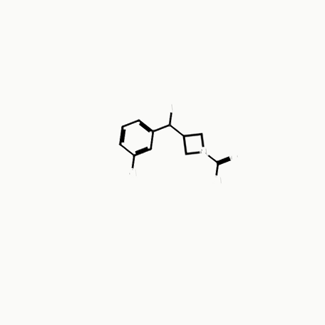 O=C(O)N1CC(C(I)c2cccc(Cl)c2)C1